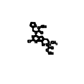 C[C@@H](Cc1cc2c(N(Cc3cccs3)C(=O)OC(C)(C)C)nc(Cl)nn2c1Br)NC(=O)OC(C)(C)C